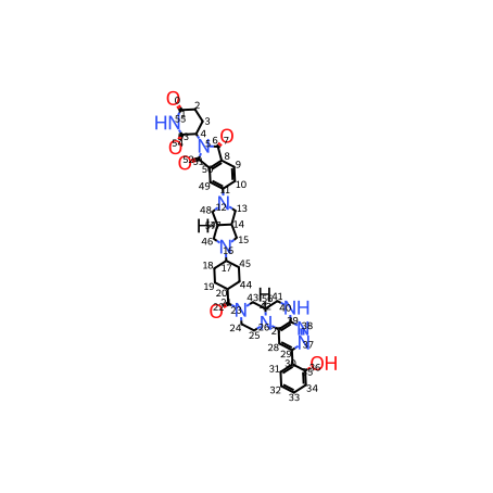 O=C1CCC(N2C(=O)c3ccc(N4CC5CN(C6CCC(C(=O)N7CCN8c9cc(-c%10ccccc%10O)nnc9NC[C@H]8C7)CC6)C[C@H]5C4)cc3C2=O)C(=O)N1